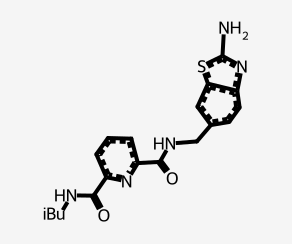 CCC(C)NC(=O)c1cccc(C(=O)NCc2ccc3nc(N)sc3c2)n1